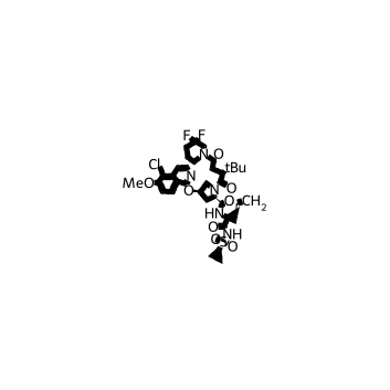 C=C[C@@H]1CC1(NC(=O)[C@@H]1C[C@@H](Oc2nccc3c(Cl)c(OC)ccc23)CN1C(=O)C(CC(=O)N1CCCC(F)(F)C1)C(C)(C)C)C(=O)NS(=O)(=O)C1CC1